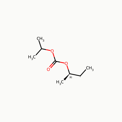 C[CH][C@@H](C)OC(=O)OC(C)C